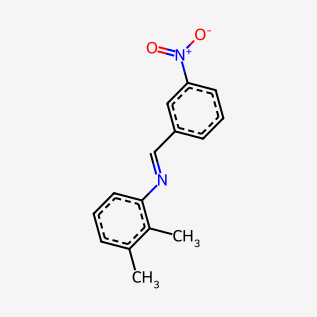 Cc1cccc(N=Cc2cccc([N+](=O)[O-])c2)c1C